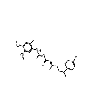 COc1cc(C)c(N/C(C)=N/C(=O)/C=C(\C)CCC(C)C2=CC=C(F)CC2)cc1OC